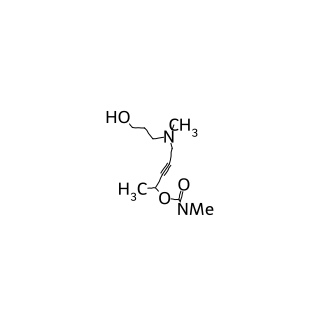 CNC(=O)OC(C)C#CCN(C)CCCO